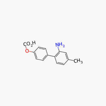 Cc1ccc(-c2ccc(OC(=O)O)cc2)c(N)c1